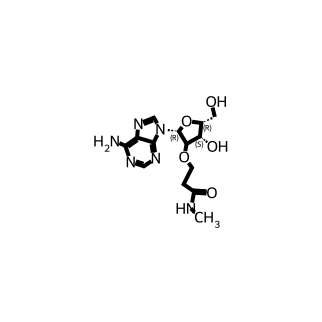 CNC(=O)CCOC1[C@@H](O)[C@@H](CO)O[C@H]1n1cnc2c(N)ncnc21